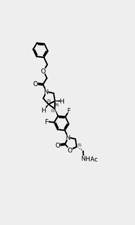 CC(=O)NC[C@H]1CN(c2cc(F)c([C@H]3[C@@H]4CN(C(=O)COCc5ccccc5)C[C@@H]43)c(F)c2)C(=O)O1